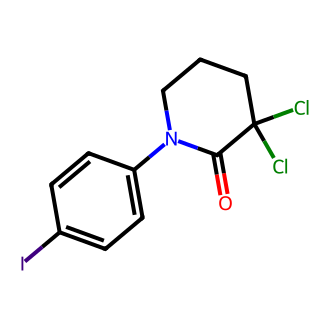 O=C1N(c2ccc(I)cc2)CCCC1(Cl)Cl